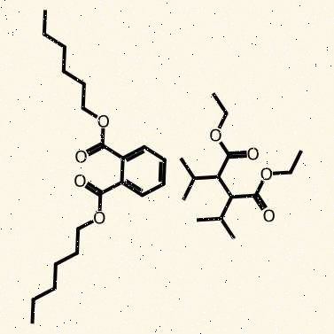 CCCCCCOC(=O)c1ccccc1C(=O)OCCCCCC.CCOC(=O)C(C(C)C)C(C(=O)OCC)C(C)C